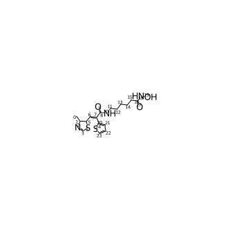 CC1N=CSC1/C=C(/C(=O)NCCCCCC(=O)NO)c1cccs1